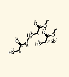 COC(=O)CS.COC(=O)CS.COC(=O)CS.[Sb]